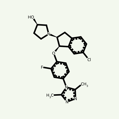 Cc1nnc(C)n1-c1ccc(O[C@@H]2c3cc(Cl)ccc3C[C@@H]2N2CC[C@@H](O)C2)c(F)c1